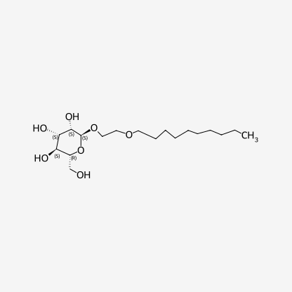 CCCCCCCCCCOCCO[C@H]1O[C@H](CO)[C@@H](O)[C@H](O)[C@@H]1O